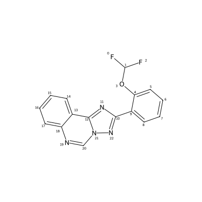 FC(F)Oc1ccccc1-c1nc2c3ccccc3ncn2n1